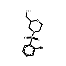 O=S(=O)(c1ccccc1Br)N1CCOC(CO)C1